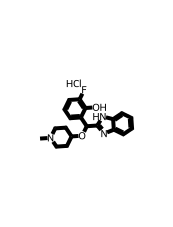 CN1CCC(OC(c2nc3ccccc3[nH]2)c2cccc(F)c2O)CC1.Cl